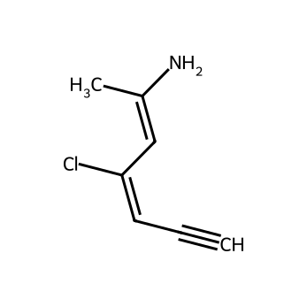 C#C/C=C(Cl)\C=C(/C)N